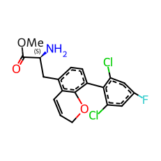 COC(=O)[C@@H](N)Cc1ccc(-c2c(Cl)cc(F)cc2Cl)c2c1C=CCO2